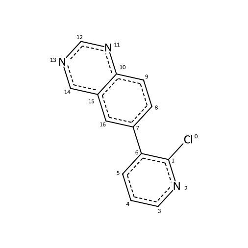 Clc1ncccc1-c1ccc2ncncc2c1